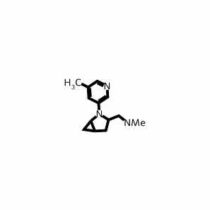 CNCC1CC2CC2N1c1cncc(C)c1